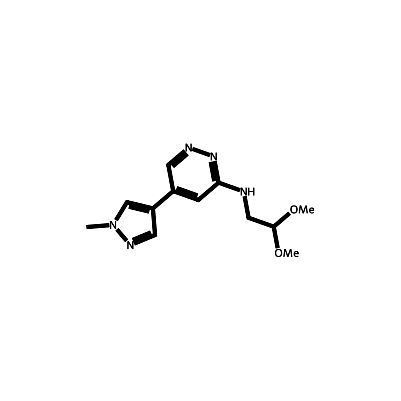 COC(CNc1cc(-c2cnn(C)c2)cnn1)OC